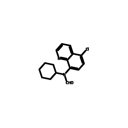 O=CN(c1ccc(Cl)c2cccnc12)C1CCCCC1